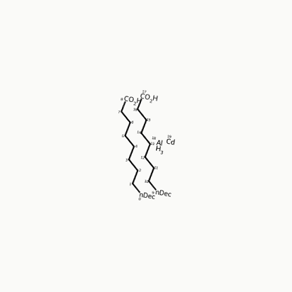 CCCCCCCCCCCCCCCCCC(=O)O.CCCCCCCCCCCCCCCCCC(=O)O.[AlH3].[Cd]